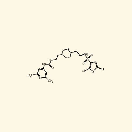 Cc1cc(NC(=O)NCCN2CCC(CCNS(=O)(=O)c3cc(Cl)sc3Cl)CC2)cc(C)n1